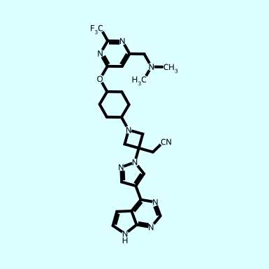 CN(C)Cc1cc(OC2CCC(N3CC(CC#N)(n4cc(-c5ncnc6[nH]ccc56)cn4)C3)CC2)nc(C(F)(F)F)n1